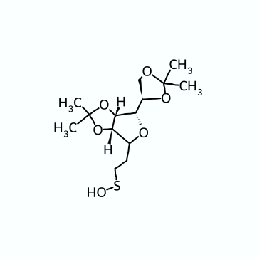 CC1(C)OC[C@H]([C@@H]2OC(CCSO)[C@@H]3OC(C)(C)O[C@H]23)O1